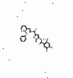 O=C(NCc1cccnc1Oc1ccccc1)c1cc(NC(=O)c2cc(F)c(F)cc2Cl)[nH]n1